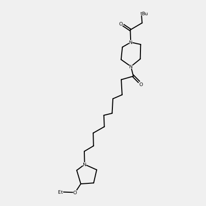 CCOC1CCN(CCCCCCCCCC(=O)N2CCN(C(=O)CC(C)(C)C)CC2)C1